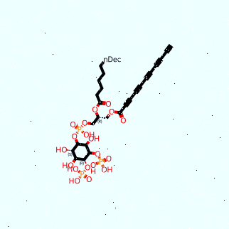 C#CC#CC#CC#CC#CC(=O)OC[C@H](COP(=O)(O)OC1C(O)C(OP(=O)(O)O)[C@H](OP(=O)(O)O)C(O)[C@@H]1O)OC(=O)CCCCCCCCCCCCCCC